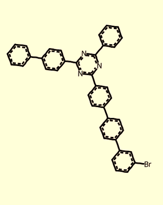 Brc1cccc(-c2ccc(-c3ccc(-c4nc(-c5ccccc5)nc(-c5ccc(-c6ccccc6)cc5)n4)cc3)cc2)c1